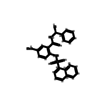 CC[C@H](NC(=O)c1cc(OC)ccc1NS(=O)(=O)c1cccc2cccnc12)c1ccccc1